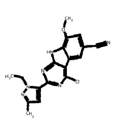 CCn1nc(C)cc1-c1nc(Cl)c2c(n1)[nH]c1c(OC)cc(C#N)cc12